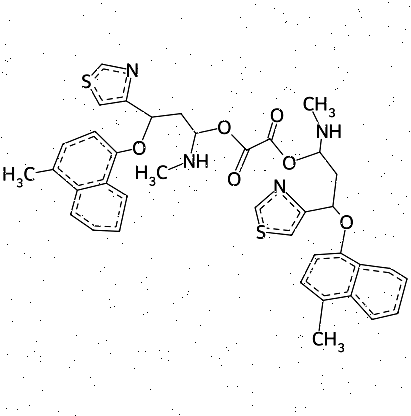 CNC(CC(Oc1ccc(C)c2ccccc12)c1cscn1)OC(=O)C(=O)OC(CC(Oc1ccc(C)c2ccccc12)c1cscn1)NC